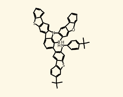 CC(C)(C)c1ccc(Nc2cc3sc4cc(C(C)(C)C)ccc4c3cc2-c2ccc3c4cc5sc6ccccc6c5cc4n4c3c2Bc2cc3oc5ccccc5c3cc2-4)cc1